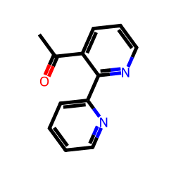 CC(=O)c1cccnc1-c1ccccn1